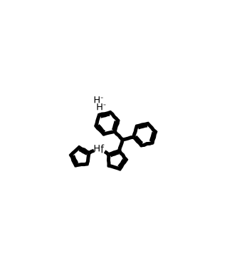 C1=CC[C]([Hf][C]2=C(C(c3ccccc3)c3ccccc3)C=CC2)=C1.[H-].[H-]